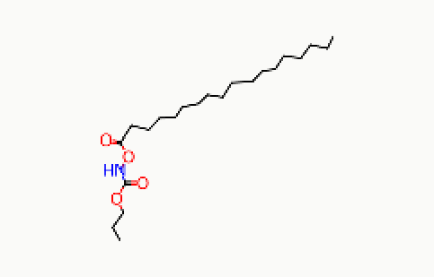 CCCCCCCCCCCCCCCCCC(=O)ONC(=O)OCCC